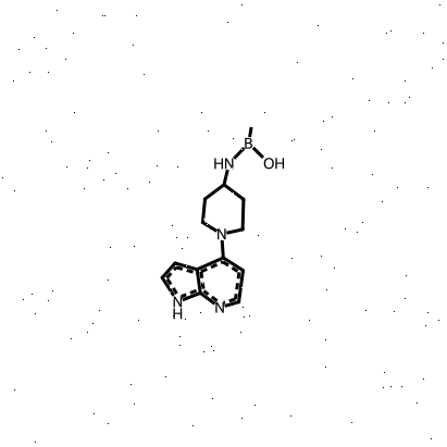 CB(O)NC1CCN(c2ccnc3[nH]ccc23)CC1